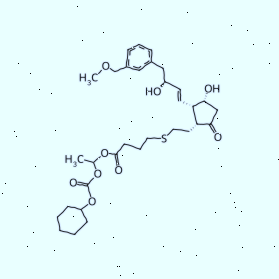 COCc1cccc(C[C@H](O)/C=C/[C@@H]2[C@H](O)CC(=O)[C@@H]2CCSCCCC(=O)OC(C)OC(=O)OC2CCCCC2)c1